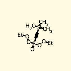 CCOOP(=O)(C#C[Si](C)(C)C)OOCC